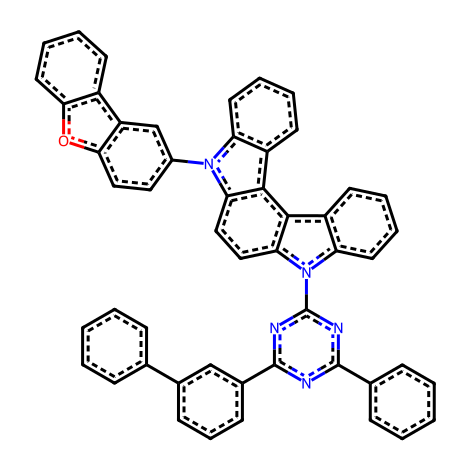 c1ccc(-c2cccc(-c3nc(-c4ccccc4)nc(-n4c5ccccc5c5c6c7ccccc7n(-c7ccc8oc9ccccc9c8c7)c6ccc54)n3)c2)cc1